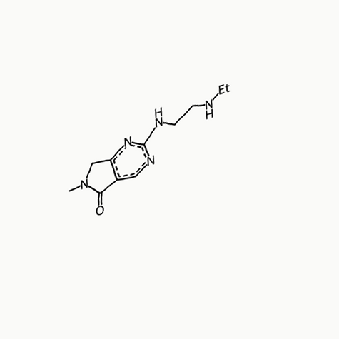 CCNCCNc1ncc2c(n1)CN(C)C2=O